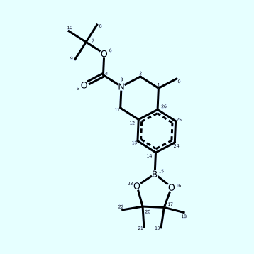 CC1CN(C(=O)OC(C)(C)C)Cc2cc(B3OC(C)(C)C(C)(C)O3)ccc21